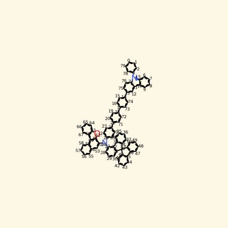 c1ccc(-n2c3ccccc3c3cc(-c4ccc(-c5ccc(-c6ccc(N(c7cccc8c7-c7ccccc7C87c8ccccc8-c8ccccc87)c7cc8ccccc8c8c7oc7ccccc78)cc6)cc5)cc4)ccc32)cc1